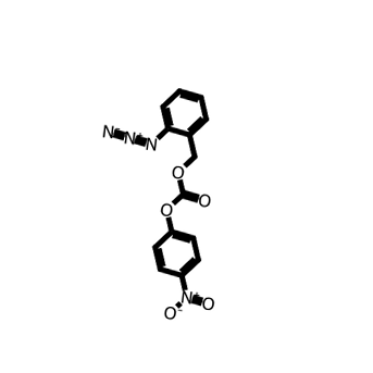 [N-]=[N+]=Nc1ccccc1COC(=O)Oc1ccc([N+](=O)[O-])cc1